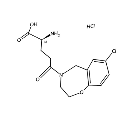 Cl.N[C@@H](CCC(=O)N1CCOc2ccc(Cl)cc2C1)C(=O)O